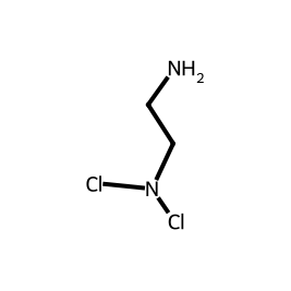 NCCN(Cl)Cl